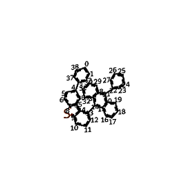 c1ccc(-c2ccc3sc4cccc(-c5c6ccccc6c(-c6ccccc6)c6ccccc56)c4c3c2)cc1